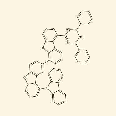 C1=CC2Oc3ccc(-c4cccc5c4oc4cccc(C6=NC(c7ccccc7)NC(c7ccccc7)N6)c45)cc3C2C(n2c3ccccc3c3ccccc32)=C1